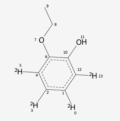 [2H]c1c([2H])c([2H])c(OCC)c(O)c1[2H]